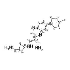 CN1CCN(c2ccc3ncc(/C(=C/NC4CC(CN)C4)CN)nc3c2)CC1